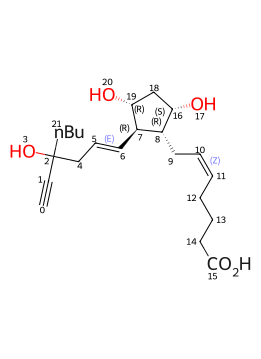 C#CC(O)(C/C=C/[C@@H]1[C@@H](C/C=C\CCCC(=O)O)[C@@H](O)C[C@H]1O)CCCC